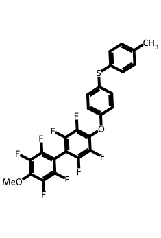 COc1c(F)c(F)c(-c2c(F)c(F)c(Oc3ccc(Sc4ccc(C)cc4)cc3)c(F)c2F)c(F)c1F